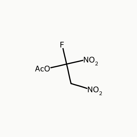 CC(=O)OC(F)(C[N+](=O)[O-])[N+](=O)[O-]